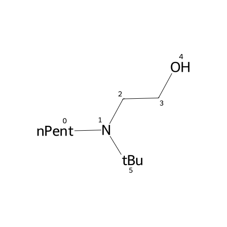 CCCCCN(CCO)C(C)(C)C